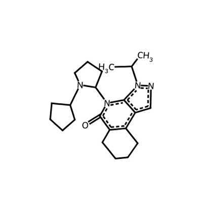 CC(C)n1ncc2c3c(c(=O)n(C4CCCN4C4CCCC4)c21)CCCC3